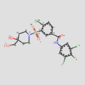 O=C(Nc1cc(F)c(F)c(F)c1)c1ccc(Cl)c(S(=O)(=O)N2CCC(O)(CO)CC2)c1